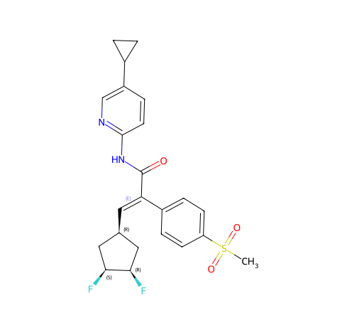 CS(=O)(=O)c1ccc(/C(=C\[C@H]2C[C@@H](F)[C@@H](F)C2)C(=O)Nc2ccc(C3CC3)cn2)cc1